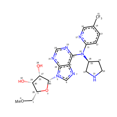 COC[C@H]1O[C@@H](n2cnc3c(N(c4ccc(C(F)(F)F)cn4)[C@H]4CCNC4)ncnc32)[C@@H](O)[C@H]1O